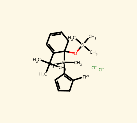 CC(C)(C)C1=CC=CCC1(O[Si](C)(C)C)[Si](C)(C)C1=[C]([Ti+2])CC=C1.[Cl-].[Cl-]